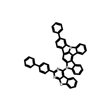 c1ccc(-c2ccc(-c3nc(-n4c5ccccc5c5c6c7ccccc7n7c8cc(-c9ccccc9)ccc8c(cc54)c67)c4c(n3)oc3ccccc34)cc2)cc1